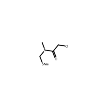 CSCN(C)C(=O)CCl